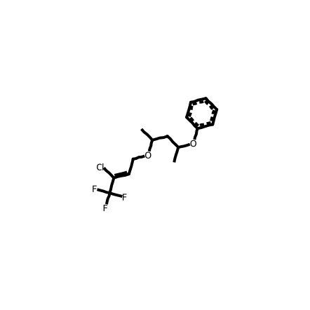 CC(CC(C)Oc1ccccc1)OCC=C(Cl)C(F)(F)F